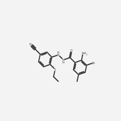 CCSc1ccc(C#N)cc1NNC(=O)c1cc(C)cc(Br)c1N